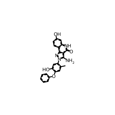 Cc1cc(Oc2ccccc2)c(O)cc1-n1nc2c(c1N)c(=O)[nH]c1cc(O)ccc12